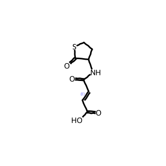 O=C(O)/C=C/C(=O)NC1CCSC1=O